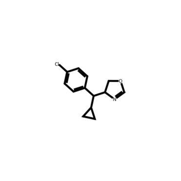 Clc1ccc(C(C2CC2)C2CO[C]=N2)cc1